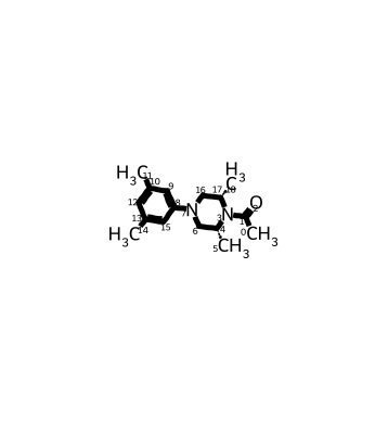 CC(=O)N1[C@H](C)CN(c2cc(C)cc(C)c2)C[C@@H]1C